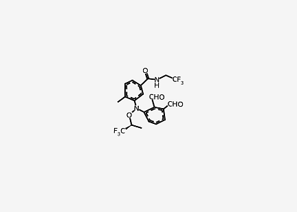 Cc1ccc(C(=O)NCC(F)(F)F)cc1N(O[C@@H](C)C(F)(F)F)c1cccc(C=O)c1C=O